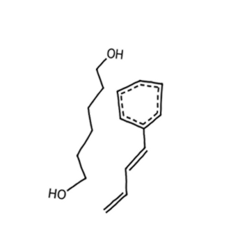 C=CC=Cc1ccccc1.OCCCCCCO